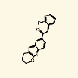 O=C(Cc1ccccc1F)c1ccc2nc3c(cc2c1)CCCO3